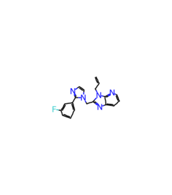 C=CCn1c(Cn2ccnc2-c2cccc(F)c2)nc2cccnc21